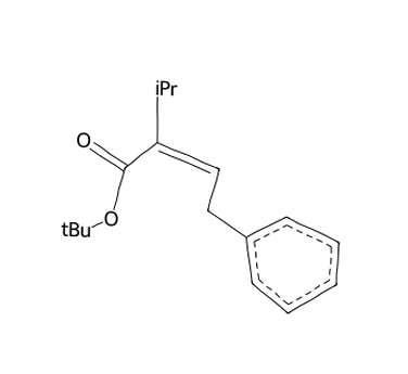 CC(C)C(=CCc1ccccc1)C(=O)OC(C)(C)C